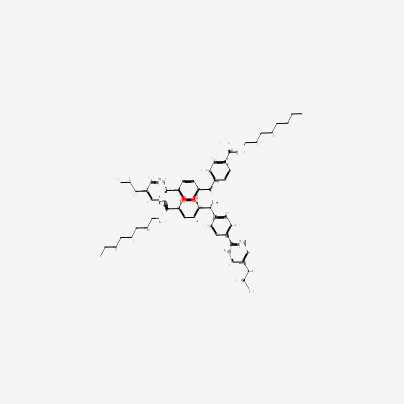 CCCCCCCCOC(=O)c1ccc(C(OC(c2ccc(C(=O)OCCCCCCCC)cc2)c2ccc(-c3ncc(CCC)cn3)cc2)c2ccc(-c3ncc(CCC)cn3)cc2)cc1